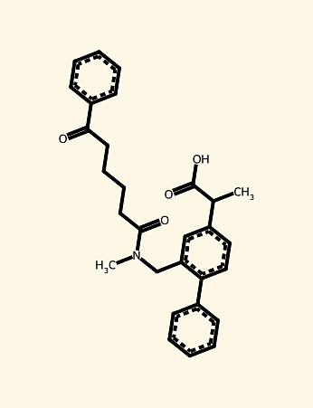 CC(C(=O)O)c1ccc(-c2ccccc2)c(CN(C)C(=O)CCCCC(=O)c2ccccc2)c1